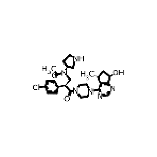 CC(=O)N(C[C@@H](C(=O)N1CCN(c2ncnc3c2[C@H](C)C[C@H]3O)CC1)c1ccc(Cl)cc1)[C@H]1CCNC1